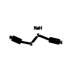 N#CSSC#N.[NaH]